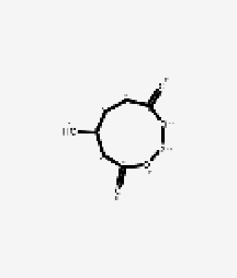 O=C1CCC(O)CC(=O)OSO1